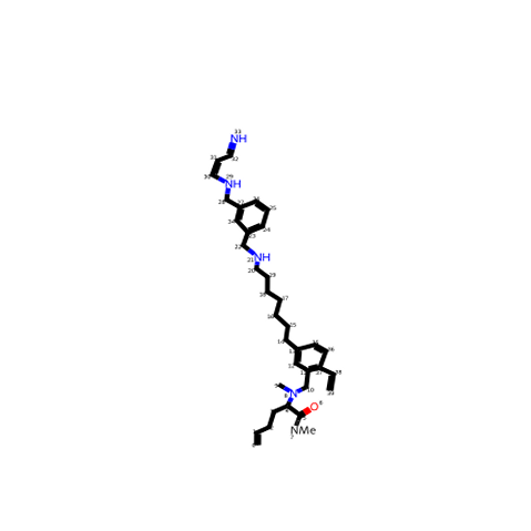 C=CCCC(C(=O)NC)N(C)Cc1cc(CCCCCCCNCc2cccc(CN/C=C\C=N)c2)ccc1C=C